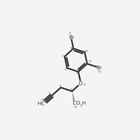 C#CC[C@H](Oc1ccc(Br)cc1Br)C(=O)O